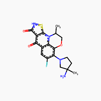 CC1COc2c(N3CCC(C)(N)C3)c(F)cc3c(=O)c4c(=O)[nH]sc4n1c23